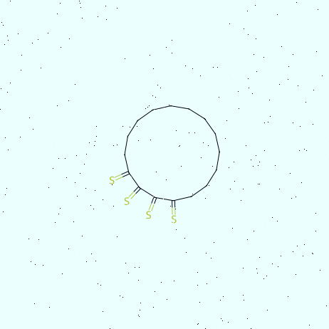 S=C1CCCCCCCCCCCCC(=S)C(=S)C1=S